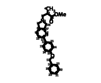 COC(=O)C(C)CN1Cc2ccc(-c3ccc(OCc4ccccc4)cc3)nc2C1